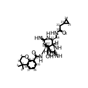 CC1(C)CCOc2c(C(=O)N[C@H]3CN4C(=N)N[C@@H](CNC(=O)CC5CC5)[C@@H]5NC(=N)N[C@@]54C3(O)O)cccc21